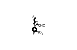 O=CC1OC(CCBr)CN1c1ccc(F)c([N+](=O)[O-])c1